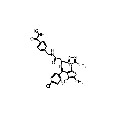 Cc1sc2c(c1C)C(c1ccc(Cl)cc1)=N[C@@H](CC(=O)NCc1ccc(C(=O)NO)cc1)c1nnc(C)n1-2